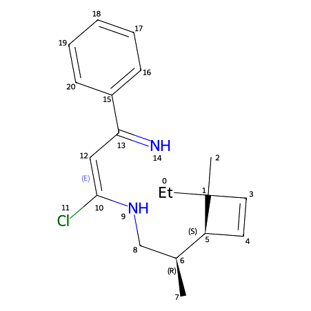 CCC1(C)C=C[C@H]1[C@@H](C)CN/C(Cl)=C\C(=N)c1ccccc1